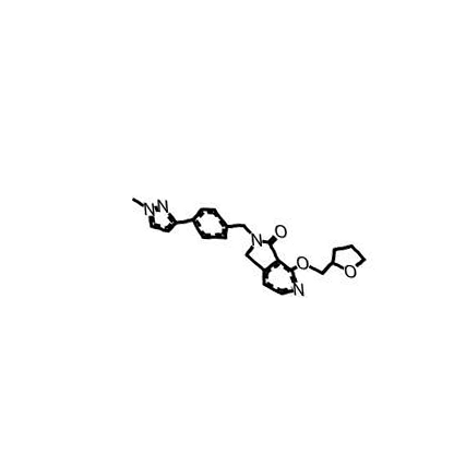 Cn1ccc(-c2ccc(CN3Cc4ccnc(OCC5CCCO5)c4C3=O)cc2)n1